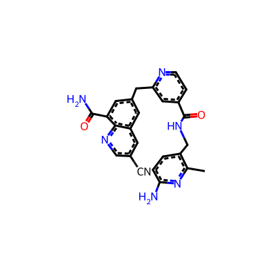 Cc1nc(N)ccc1CNC(=O)c1ccnc(Cc2cc(C(N)=O)c3ncc(C#N)cc3c2)c1